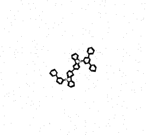 C1=CCC(c2cccc(-n3c4ccccc4c4cc(-c5ccc6c(c5)c5ccccc5n6-c5cc(-c6ccccc6)cc(-c6ccccc6)c5)ccc43)c2)C=C1